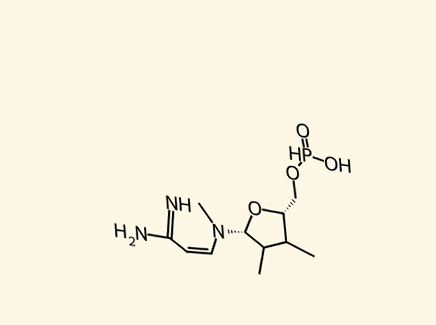 CC1C(C)[C@@H](CO[PH](=O)O)O[C@H]1N(C)/C=C\C(=N)N